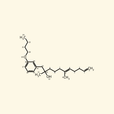 C=CCC/C=C(\C)CCCC(C)(O)Cc1cccc(OCCCC)c1